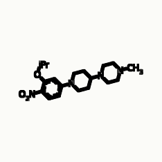 CC(C)Oc1cc(N2CCC(N3CCN(C)CC3)CC2)ccc1[N+](=O)[O-]